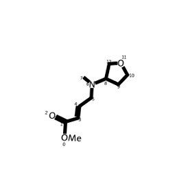 COC(=O)/C=C/CN(C)C1CCOC1